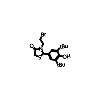 CC(C)(C)c1cc(C2SCC(=O)N2CCBr)cc(C(C)(C)C)c1O